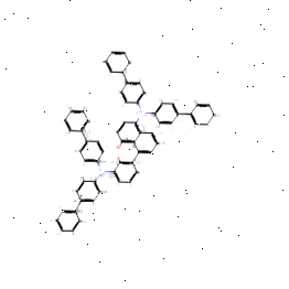 C1=CCC(c2ccc(N(c3ccc(C4=CCCC=C4)cc3)c3ccc4c5c(cccc35)-c3cccc(N(c5ccc(-c6ccccc6)cc5)c5ccc(-c6ccccc6)cc5)c3O4)cc2)C=C1